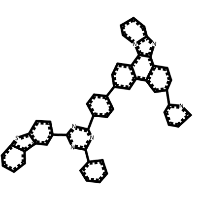 c1ccc(-c2nc(-c3ccc(-c4ccc5c(c4)c4cc(-c6ccccn6)ccc4c4nc6ccccn6c54)cc3)nc(-c3ccc4sc5ccccc5c4c3)n2)cc1